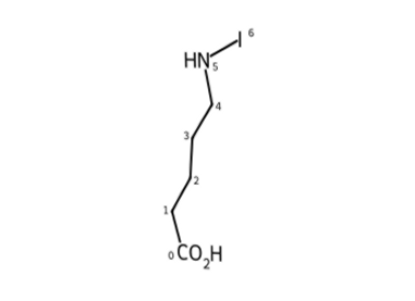 O=C(O)CCCCNI